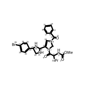 COC(=O)NC(C(=O)N1CN(C(=O)c2ccccc2)C=C1C1NCC(c2ccc(Br)cc2)N1)C(C)C